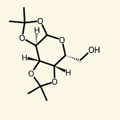 CC1(C)O[C@@H]2[C@H](O1)[C@H]1OC(C)(C)OC1O[C@@H]2[CH]O